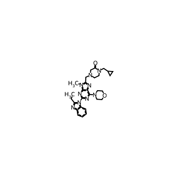 CCc1nc2ccccc2n1-c1nc(N2CCOCC2)c2nc(CN3CCN(CC4CC4)C(=O)C3)n(C)c2n1